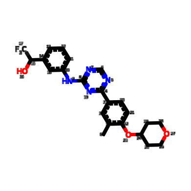 Cc1cc(-c2ncnc(Nc3cccc(C(O)C(F)(F)F)c3)n2)ccc1OC1CCOCC1